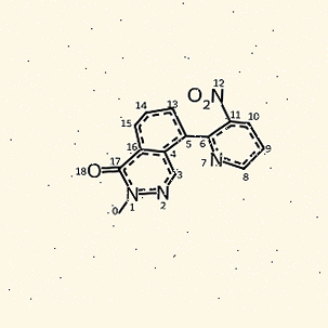 Cn1ncc2c(-c3ncccc3[N+](=O)[O-])cccc2c1=O